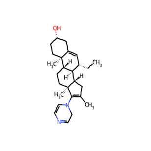 CC[C@H]1C=C2C[C@@H](O)CC[C@]2(C)[C@H]2CC[C@]3(C)C(N4C=CN=CC4)=C(C)C[C@H]3[C@H]12